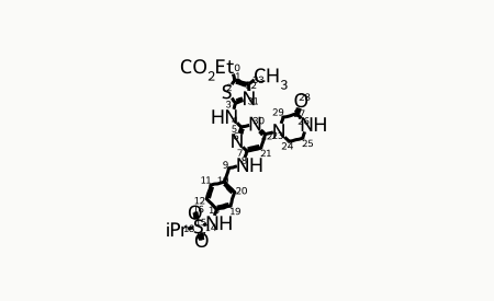 CCOC(=O)c1sc(Nc2nc(NCc3ccc(NS(=O)(=O)C(C)C)cc3)cc(N3CCNC(=O)C3)n2)nc1C